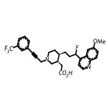 COc1ccc2nccc(C(F)CC[C@@H]3CCN(CC#Cc4cccc(C(F)(F)F)c4)C[C@@H]3CC(=O)O)c2c1